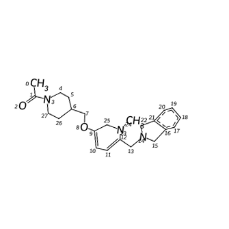 CC(=O)N1CCC(COC2=CC=C(CN3Cc4ccccc4C3)N(C)C2)CC1